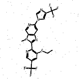 CCSc1cc(C(F)(F)F)cnc1-c1nc2cc(-n3cnc(C(F)(F)F)c3)ncc2n1C